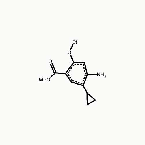 CCOc1cc(N)c(C2CC2)cc1C(=O)OC